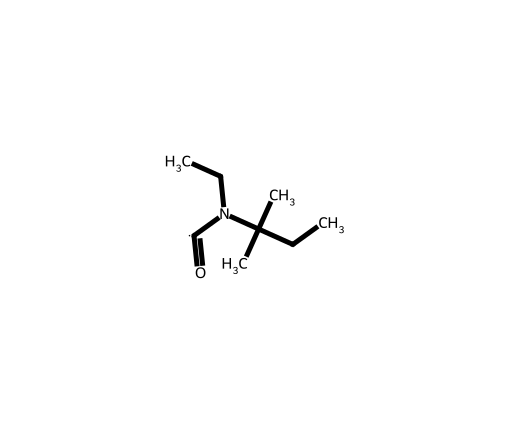 CCN([C]=O)C(C)(C)CC